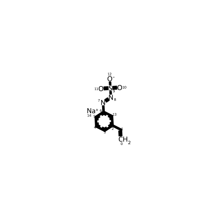 C=Cc1cccc(N=NS(=O)(=O)[O-])c1.[Na+]